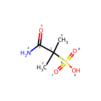 CC(C)(C(N)=O)S(=O)(=O)O